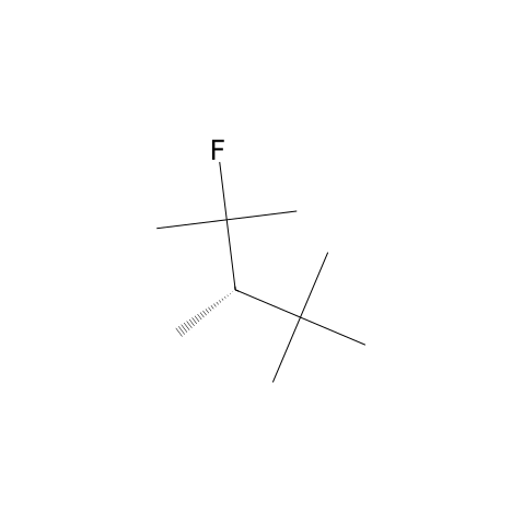 C[C@@H](C(C)(C)C)C(C)(C)F